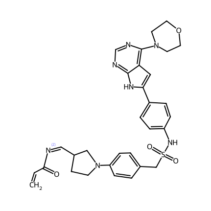 C=CC(=O)/N=C\C1CCN(c2ccc(CS(=O)(=O)Nc3ccc(-c4cc5c(N6CCOCC6)ncnc5[nH]4)cc3)cc2)C1